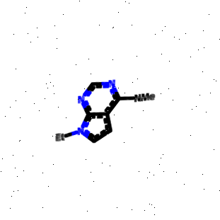 CCn1ccc2c(NC)ncnc21